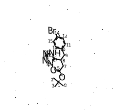 CC(C)(C)OC(=O)CC(Cc1ccc(Br)cc1)c1nnn[nH]1